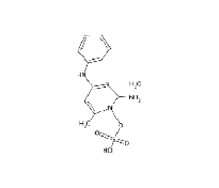 CC1=CC(Nc2ccccc2)=NC(N)N1OS(=O)(=O)O.O